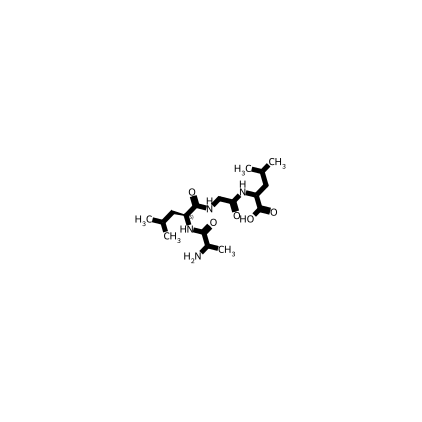 CC(C)CC(NC(=O)CNC(=O)[C@H](CC(C)C)NC(=O)C(C)N)C(=O)O